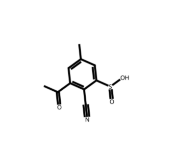 CC(=O)c1cc(C)cc(S(=O)O)c1C#N